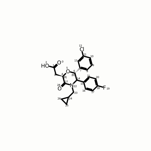 O=C(O)C[C@H]1O[C@H](c2cccc(Cl)c2)C(c2ccc(F)cc2)N(CC2CC2)C1=O